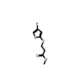 COC(=O)CCSc1cc(F)cs1